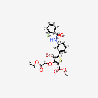 CCOC(=O)COc1c(C(=O)OC)sc(-c2cccc(NC(=O)c3ccccc3F)c2)c1Br